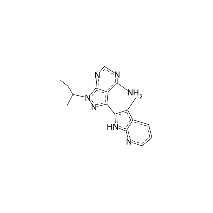 CCC(C)n1nc(-c2[nH]c3ncccc3c2C)c2c(N)ncnc21